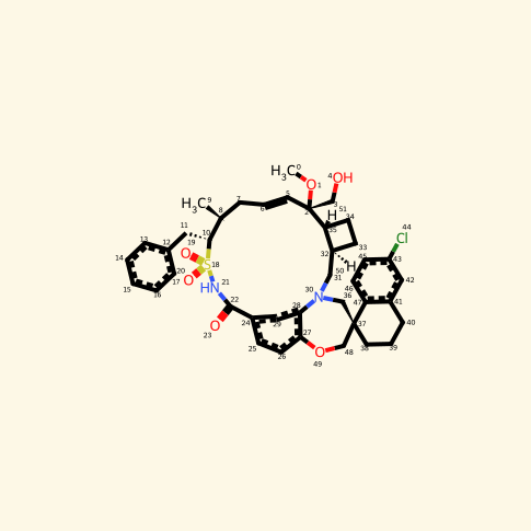 CO[C@@]1(CO)/C=C/C[C@H](C)[C@@H](Cc2ccccc2)S(=O)(=O)NC(=O)c2ccc3c(c2)N(C[C@@H]2CC[C@H]21)C[C@@]1(CCCc2cc(Cl)ccc21)CO3